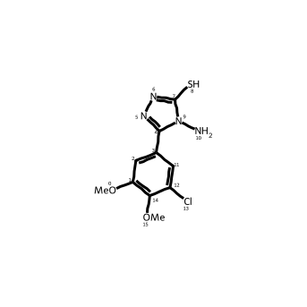 COc1cc(-c2nnc(S)n2N)cc(Cl)c1OC